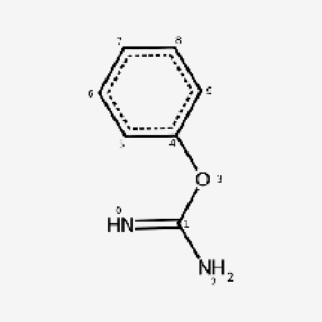 N=C(N)Oc1ccccc1